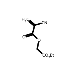 C=C(C#N)C(=O)OCC(=O)OCC